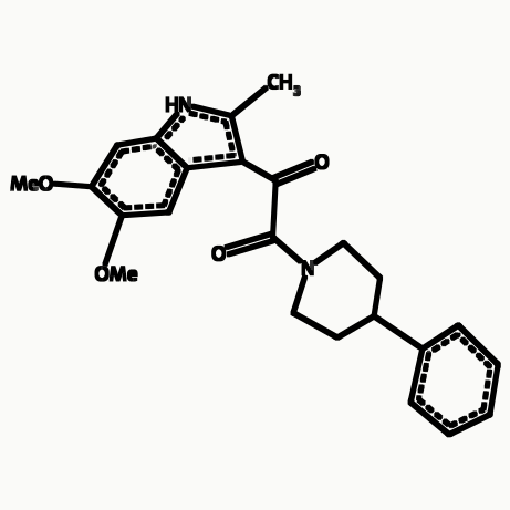 COc1cc2[nH]c(C)c(C(=O)C(=O)N3CCC(c4ccccc4)CC3)c2cc1OC